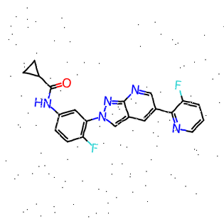 O=C(Nc1ccc(F)c(-n2cc3cc(-c4ncccc4F)cnc3n2)c1)C1CC1